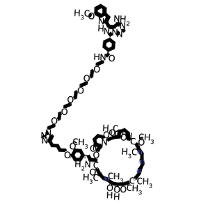 COc1cccc2cc(-c3nc([C@H]4CC[C@H](C(=O)NCCOCCOCCOCCOCCOCCOCCn5cc(CCCCO[C@@H]6CC[C@@H](C[C@@H](N)[C@@H]7CC(=O)[C@H](C)/C=C(\C)[C@@H](O)[C@@H](O)C(=O)[C@H](C)C[C@H](C)/C=C/C=C/C=C(\C)[C@@H](OC)C[C@@H]8CC[C@@H](C)[C@@](O)(O8)C(=O)C(=O)N8CCCC[C@H]8C(=O)O7)C[C@H]6OC)nn5)CC4)n4ncnc(N)c34)[nH]c12